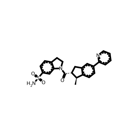 C[C@@H]1c2ccc(-c3ccccn3)cc2C[C@H]1C(=O)N1CCc2ccc(S(N)(=O)=O)cc21